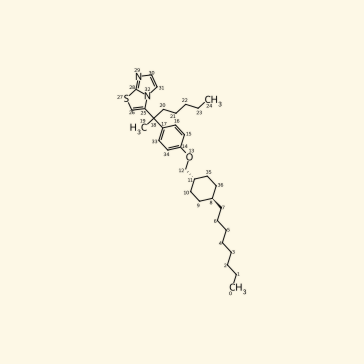 CCCCCCCC[C@H]1CC[C@H](COc2ccc(C(C)(CCCCC)c3csc4nccn34)cc2)CC1